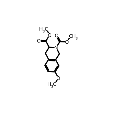 COC(=O)C1Cc2ccc(OC)cc2CN1C(=O)OC